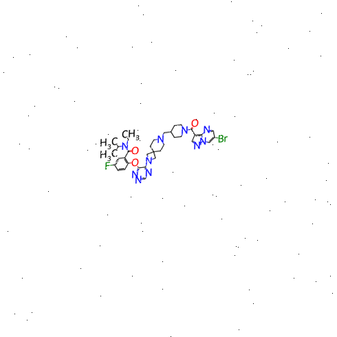 CCN(C(=O)c1cc(F)ccc1Oc1nncnc1N1CC2(CCN(CC3CCN(C(=O)c4cnn5cc(Br)cnc45)CC3)CC2)C1)C(C)C